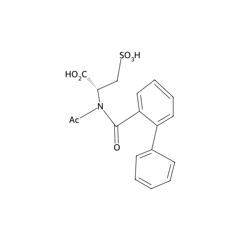 CC(=O)N(C(=O)c1ccccc1-c1ccccc1)[C@@H](CS(=O)(=O)O)C(=O)O